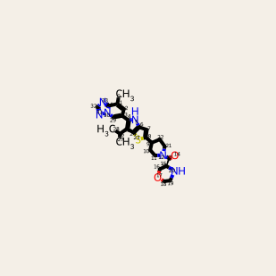 Cc1cc(-c2[nH]c3cc(C4CCN(C(=O)[C@@H]5COCCN5)CC4)sc3c2C(C)C)cn2ncnc12